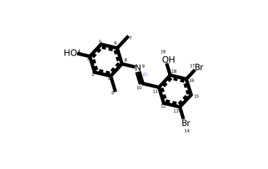 Cc1cc(O)cc(C)c1/N=C/c1cc(Br)cc(Br)c1O